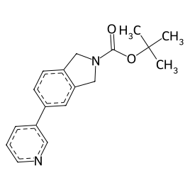 CC(C)(C)OC(=O)N1Cc2ccc(-c3cccnc3)cc2C1